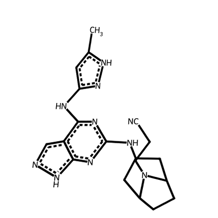 Cc1cc(Nc2nc(NC3CC4CCC(C3)N4CCC#N)nc3[nH]ncc23)n[nH]1